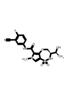 C[C@H](O)[C@@H]1COc2c(cn(C)c2C(=O)Nc2ccc(F)c(C#N)c2)S(=O)(=O)N1